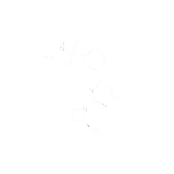 CNS(=O)(=O)c1cccc(-c2nc(N3CC[C@@H]3C)nc3c2CCC3)c1